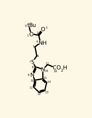 CC(C)(C)OC(=O)NCCSc1nc2ccccc2n1CC(=O)O